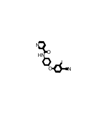 N#Cc1ccc(O[C@H]2CC[C@H](NC(=O)c3cccnc3)CC2)cc1I